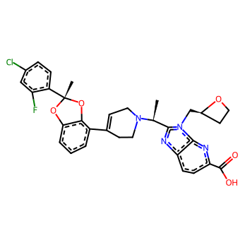 C[C@@H](c1nc2ccc(C(=O)O)nc2n1C[C@@H]1CCO1)N1CC=C(c2cccc3c2O[C@@](C)(c2ccc(Cl)cc2F)O3)CC1